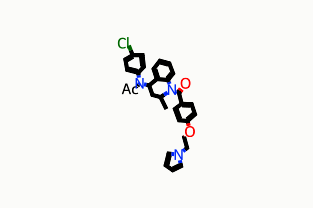 CC(=O)N(c1ccc(Cl)cc1)C1CC(C)N(C(=O)c2ccc(OCCn3cccc3)cc2)c2ccccc21